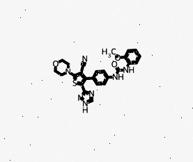 COc1ccccc1NC(=O)Nc1ccc(-c2c(-c3nc[nH]n3)sc(N3CCOCC3)c2C#N)cc1